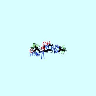 O=C(O)N1CCN(c2ncc(C(F)(F)F)cn2)CC1CCNc1cc(C(F)(F)F)c(=O)[nH]n1